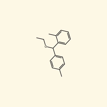 CCOC(c1ccc(C)cc1)c1ccccc1C